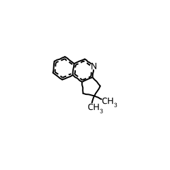 CC1(C)Cc2ncc3ccccc3c2C1